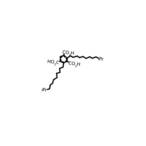 CC(C)CCCCCCCCCc1c(C(=O)O)cc(C(=O)O)c(CCCCCCCCCC(C)C)c1C(=O)O